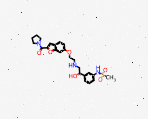 CS(=O)(=O)Nc1cccc([C@@H](O)CNCCOc2ccc3cc(C(=O)N4CCCC4)oc3c2)c1